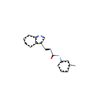 CC(=O)c1cccc(NC(=O)/C=C/c2c[nH]c3ccccc23)c1